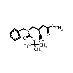 C#CC(CC(=O)NC)CN(Cc1ccccc1)C(=O)OC(C)(C)C